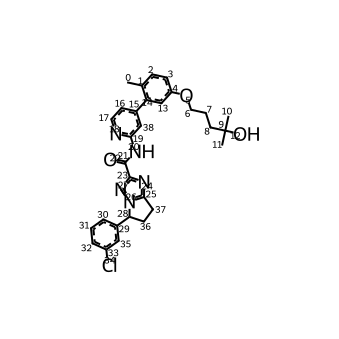 Cc1ccc(OCCCC(C)(C)O)cc1-c1ccnc(NC(=O)c2nc3n(n2)C(c2cccc(Cl)c2)CC3)c1